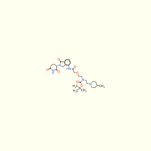 CC1CCN(CCN(CCOCC(=O)Nc2cccc3c2CN(C2CCC(=O)NC2=O)C3=O)C(=O)OC(C)(C)C)CC1